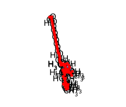 CCN(C(C)=O)[C@H]1CO[C@@H](O[C@H]2[C@H](O[C@H]3C#C/C=C\C#C[C@]4(O)CC(=O)C(NC(=O)OC)=C3/C4=C\CSSC(C)(C)CCC(=O)NCCNC(=O)CCOCCOCCOCCOCCOCCOCCOCCOCCNC(=O)CCN3C(=O)C=CC3=O)O[C@H](C)[C@@H](NO[C@H]3C[C@H](O)[C@H](SC(=O)c4c(I)c(I)c(O[C@@H]5O[C@@H](C)[C@H](O)[C@@H](OC)[C@H]5O)c(OC)c4OC)[C@@H](C)O3)[C@@H]2C)C[C@@H]1OC